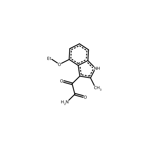 CCOc1cccc2[nH]c(C)c(C(=O)C(N)=O)c12